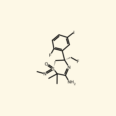 CN=[S@]1(=O)C[C@@](CF)(c2cc(I)ccc2F)N=C(N)C1(C)C